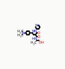 CC(CO)NC(=O)c1cc(-c2ccc(N(C)C)cc2)nn(-c2cccnc2)c1=O